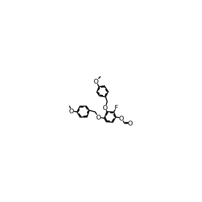 COc1ccc(COc2ccc(OC=O)c(F)c2OCc2ccc(OC)cc2)cc1